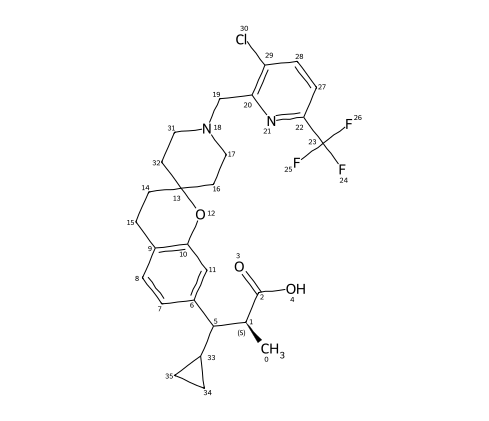 C[C@H](C(=O)O)C(c1ccc2c(c1)OC1(CC2)CCN(Cc2nc(C(F)(F)F)ccc2Cl)CC1)C1CC1